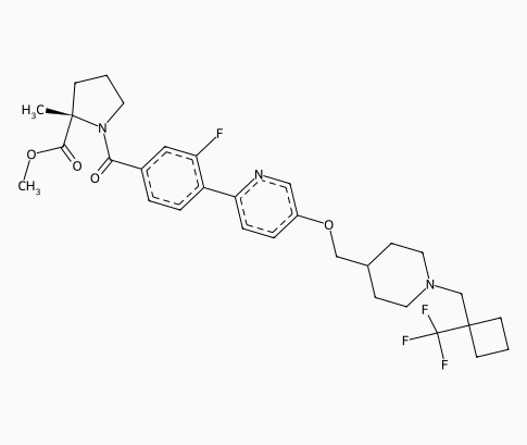 COC(=O)[C@]1(C)CCCN1C(=O)c1ccc(-c2ccc(OCC3CCN(CC4(C(F)(F)F)CCC4)CC3)cn2)c(F)c1